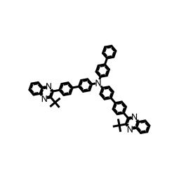 CC(C)(C)c1nc2ccccc2nc1-c1ccc(-c2ccc(N(c3ccc(-c4ccccc4)cc3)c3ccc(-c4ccc(-c5nc6ccccc6nc5C(C)(C)C)cc4)cc3)cc2)cc1